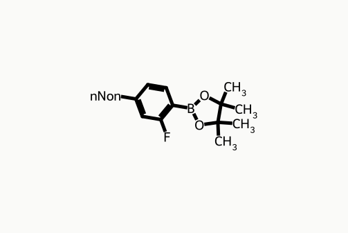 CCCCCCCCCc1ccc(B2OC(C)(C)C(C)(C)O2)c(F)c1